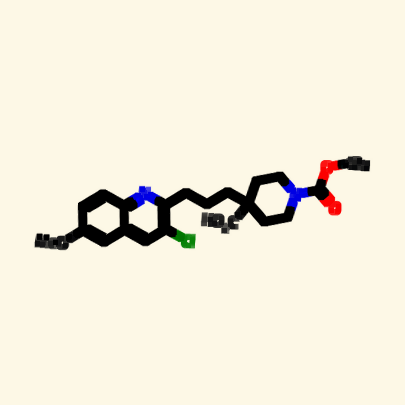 COc1ccc2nc(CCCC3(C(=O)O)CCN(C(=O)OC(C)(C)C)CC3)c(Cl)cc2c1